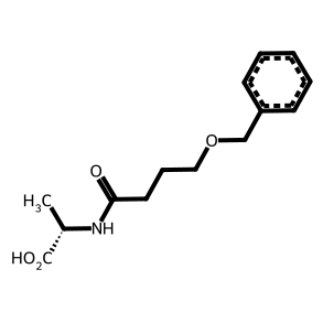 C[C@H](NC(=O)CCCOCc1ccccc1)C(=O)O